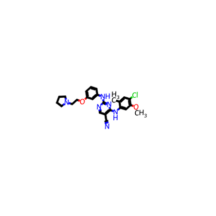 COc1cc(Nc2nc(Nc3cccc(OCCN4CCCC4)c3)ncc2C#N)c(C)cc1Cl